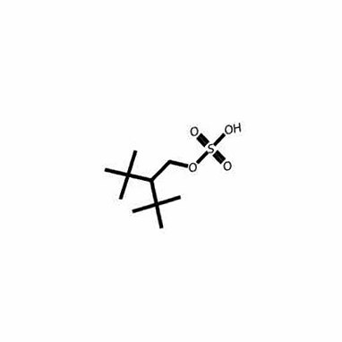 CC(C)(C)C(COS(=O)(=O)O)C(C)(C)C